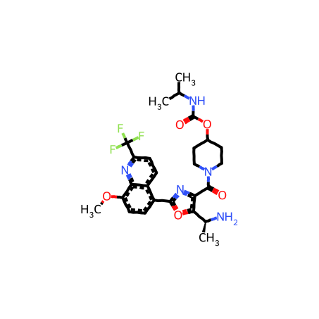 COc1ccc(-c2nc(C(=O)N3CCC(OC(=O)NC(C)C)CC3)c([C@H](C)N)o2)c2ccc(C(F)(F)F)nc12